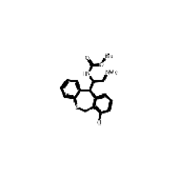 CNCC(NC(=O)OC(C)(C)C)C1c2ccccc2SCc2c(Cl)cccc21